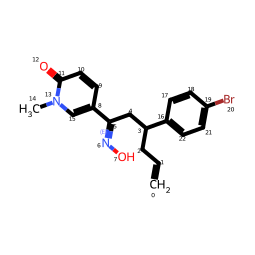 C=CCC(C/C(=N\O)c1ccc(=O)n(C)c1)c1ccc(Br)cc1